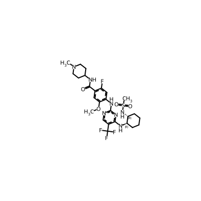 COc1cc(C(=O)NC2CCN(C)CC2)c(F)cc1Nc1ncc(C(F)(F)F)c(N[C@@H]2CCCC[C@H]2NS(C)(=O)=O)n1